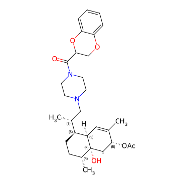 CC(=O)O[C@@H]1[C][C@@]2(O)[C@H](C)CC[C@@H]([C@H](C)CN3CCN(C(=O)C4COc5ccccc5O4)CC3)[C@H]2C=C1C